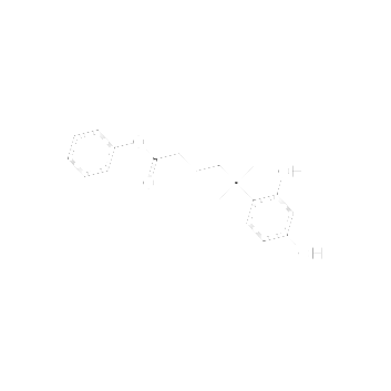 CC(C)(CCCC(=O)Oc1ccccc1)c1ccc(O)cc1O